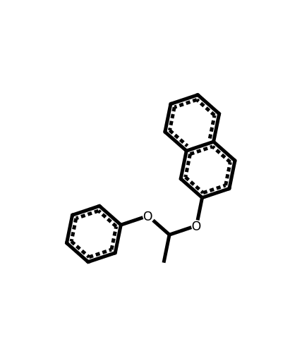 CC(Oc1ccccc1)Oc1ccc2ccccc2c1